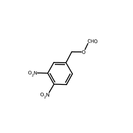 O=COCc1ccc([N+](=O)[O-])c([N+](=O)[O-])c1